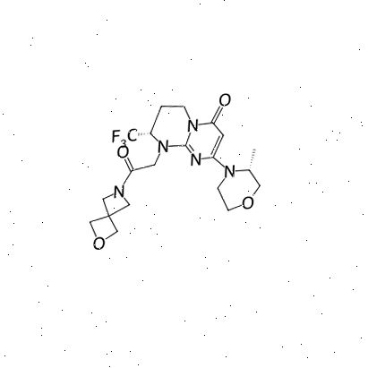 C[C@@H]1COCCN1c1cc(=O)n2c(n1)N(CC(=O)N1CC3(COC3)C1)[C@H](C(F)(F)F)CC2